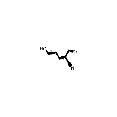 N#C/C(C=O)=C/C=C/O